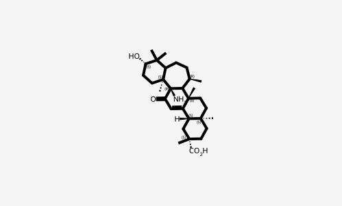 C[C@@H]1CCC2C(C)(C)[C@@H](O)CC[C@]2(C)[C@@]2(N)C(=O)C=C3[C@H]4C[C@@](C)(C(=O)O)CC[C@]4(C)CC[C@@]3(C)C12